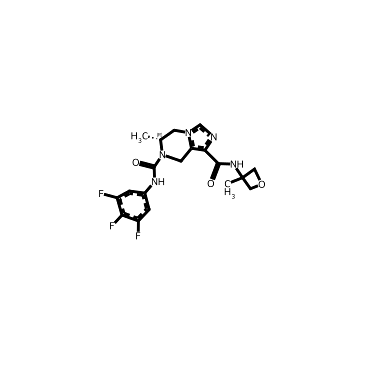 C[C@@H]1Cn2cnc(C(=O)NC3(C)COC3)c2CN1C(=O)Nc1cc(F)c(F)c(F)c1